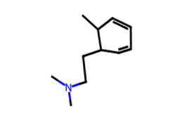 CC1C=CC=CC1CCN(C)C